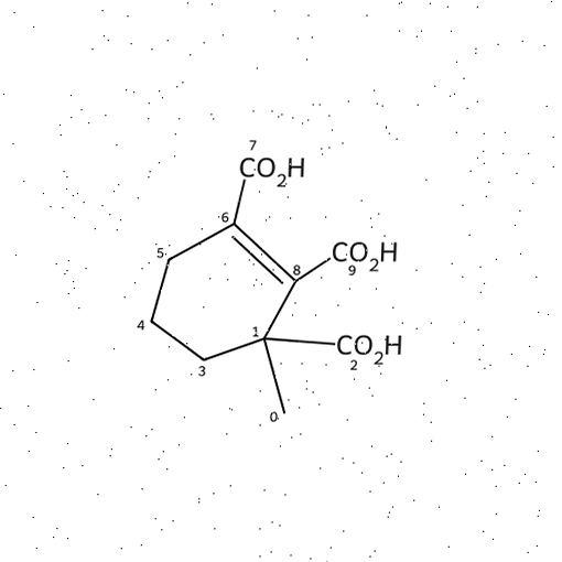 CC1(C(=O)O)CCCC(C(=O)O)=C1C(=O)O